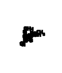 Cc1cc(Nc2cc(C(=O)N3CC[C@@H](O)C3)nc(N3CCCC3c3cc(-c4ccccn4)no3)n2)n[nH]1